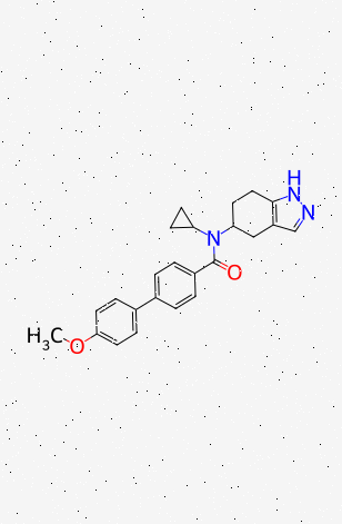 COc1ccc(-c2ccc(C(=O)N(C3CC3)C3CCc4[nH]ncc4C3)cc2)cc1